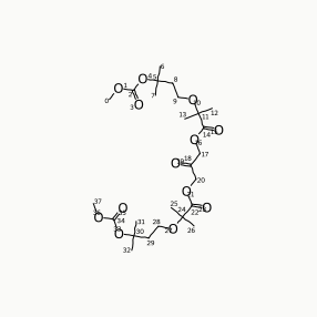 COC(=O)OC(C)(C)CCOC(C)(C)C(=O)OCC(=O)COC(=O)C(C)(C)OCCC(C)(C)OC(=O)OC